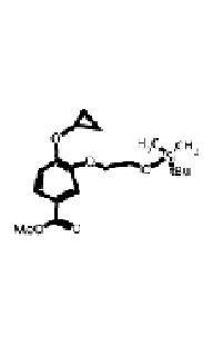 COC(=O)c1ccc(OC2CC2)c(OCCO[Si](C)(C)C(C)(C)C)c1